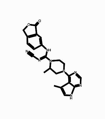 Cc1c[nH]c2ncnc(N3CCN(C(=NC#N)Nc4ccc5c(c4)C(=O)OC5)C(C)C3)c12